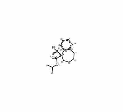 CC(C)OC(=O)[N+]1(C(F)(F)F)CCCCc2ncccc21